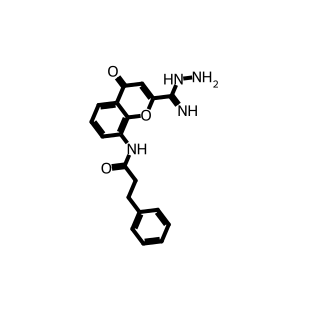 N=C(NN)c1cc(=O)c2cccc(NC(=O)CCc3ccccc3)c2o1